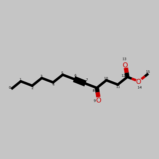 CCCCCCC#CC(=O)CCC(=O)OC